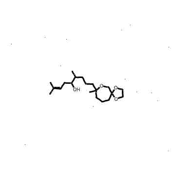 CC(C)=CCC(O)C(C)CCCC1(C)CCCC2(CO1)OCCO2